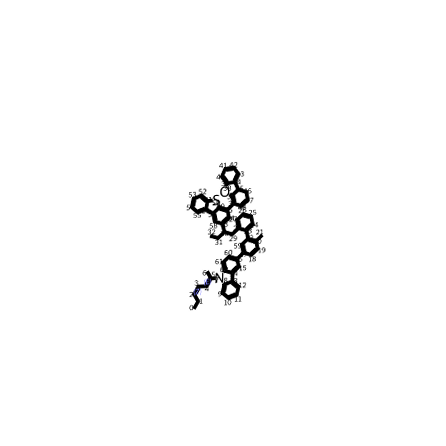 CC/C=C\C=C(/C)n1c2ccccc2c2cc(-c3ccc(C)c(-c4ccccc4CC(CC)c4cc(C5=C6Oc7ccccc7C6CC=C5)c5sc6ccccc6c5c4)c3)ccc21